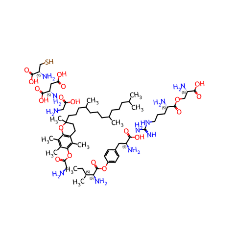 CC[C@H](C)[C@H](N)C(=O)Oc1ccc(C[C@H](N)C(=O)O)cc1.Cc1c(C)c2c(c(C)c1OC(=O)CN)CCC(C)(CCCC(C)CCCC(C)CCCC(C)C)O2.N=C(N)NCCC[C@H](N)C(=O)OC[C@H](N)C(=O)O.NCC(=O)O.N[C@@H](CC(=O)O)C(=O)O.N[C@@H](CS)C(=O)O